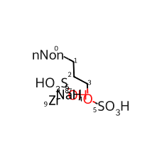 CCCCCCCCCCCCOS(=O)(=O)O.O=S(=O)(O)O.[NaH].[Zr]